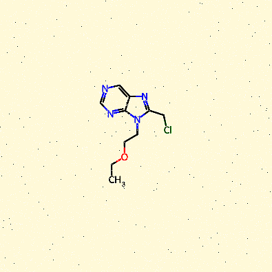 CCOCCn1c(CCl)nc2cncnc21